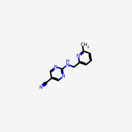 Cc1cccc(CNc2ncc(C#N)cn2)n1